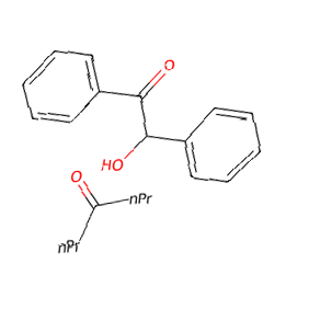 CCCC(=O)CCC.O=C(c1ccccc1)C(O)c1ccccc1